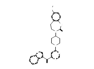 COc1ccc2c(c1)CCN(C1CCN(c3cc(C(=O)c4csc5ccccc45)ncn3)CC1)C(=O)N2